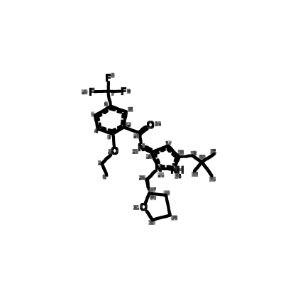 CCOc1ccc(C(F)(F)F)cc1C(=O)N=c1cc(CC(C)(C)C)[nH]n1C[C@H]1CCCO1